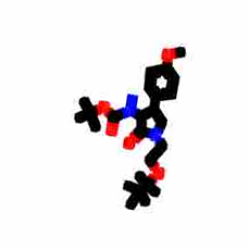 COc1ccc(C2CN(CCO[Si](C)(C)C(C)(C)C)C(=O)C2NC(=O)OC(C)(C)C)cc1